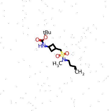 C=CCCN(C)S(=O)(=O)CC1CC(NC(=O)OC(C)(C)C)C1